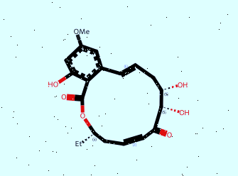 CC[C@H]1C/C=C\C(=O)[C@@H](O)[C@@H](O)C/C=C/c2cc(OC)cc(O)c2C(=O)O1